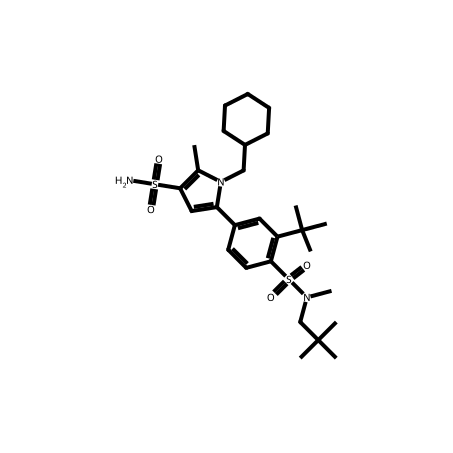 Cc1c(S(N)(=O)=O)cc(-c2ccc(S(=O)(=O)N(C)CC(C)(C)C)c(C(C)(C)C)c2)n1CC1CCCCC1